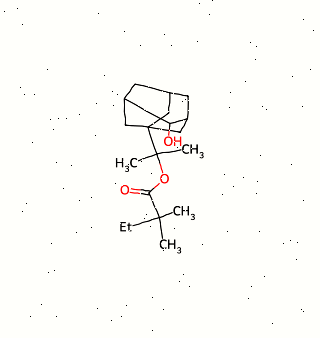 CCC(C)(C)C(=O)OC(C)(C)C12CC3CC(C1)C(O)C(C3)C2